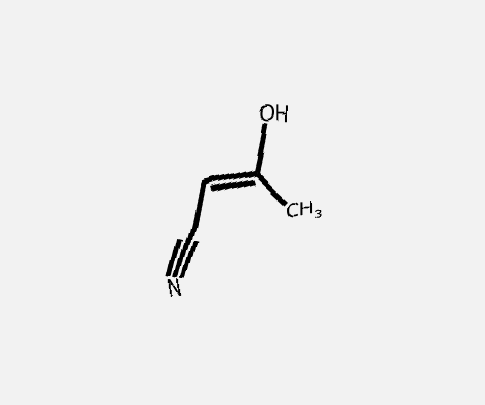 C/C(O)=C\C#N